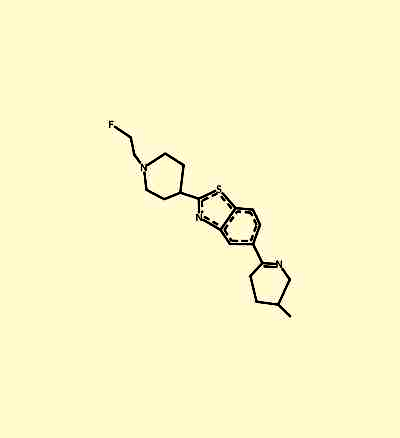 CC1CCC(c2ccc3sc(C4CCN(CCF)CC4)nc3c2)=NC1